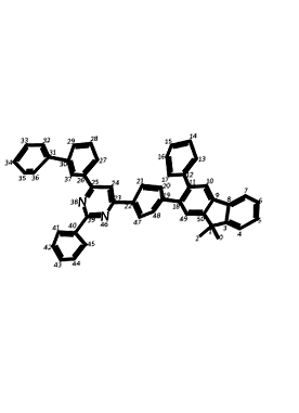 CC1(C)c2ccccc2-c2cc(-c3ccccc3)c(-c3ccc(-c4cc(-c5cccc(-c6ccccc6)c5)nc(-c5ccccc5)n4)cc3)cc21